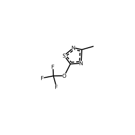 Cc1nsc(OC(F)(F)F)n1